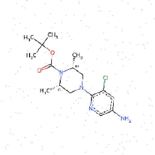 C[C@@H]1CN(c2ncc(N)cc2Cl)C[C@H](C)N1C(=O)OC(C)(C)C